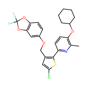 Cc1nc(-c2sc(Cl)cc2COc2ccc3c(c2)OC(F)(F)O3)ccc1OC1CCCCC1